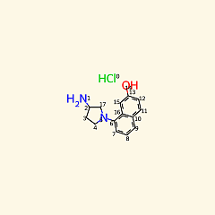 Cl.NC1CCN(c2cccc3ccc(O)cc23)C1